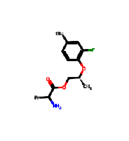 CC(C)C(N)C(=O)OC[C@@H](C)Oc1ccc(C(C)(C)C)cc1F